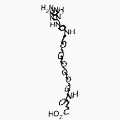 Nc1nc2ncc(CNc3ccc(NC#CCOCCOCCOCCOCCOCCOCCNC(=O)CCCC(=O)O)cc3)nc2c(=O)[nH]1